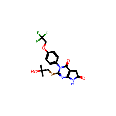 CC(C)(O)CSc1nc2c(c(=O)n1-c1ccc(OCC(F)(F)F)cc1)CC(=O)N2